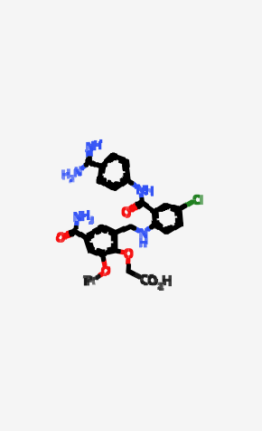 CC(C)Oc1cc(C(N)=O)cc(CNc2ccc(Cl)cc2C(=O)Nc2ccc(C(=N)N)cc2)c1OCC(=O)O